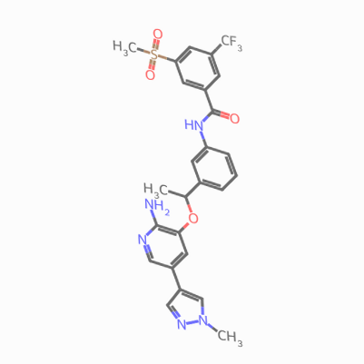 CC(Oc1cc(-c2cnn(C)c2)cnc1N)c1cccc(NC(=O)c2cc(C(F)(F)F)cc(S(C)(=O)=O)c2)c1